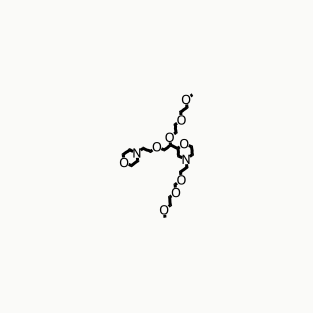 COCCOCCOC(COCCN1CCOCC1)C1CN(CCOCOCCOC)CCO1